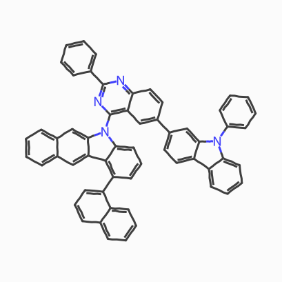 c1ccc(-c2nc(-n3c4cc5ccccc5cc4c4c(-c5cccc6ccccc56)cccc43)c3cc(-c4ccc5c6ccccc6n(-c6ccccc6)c5c4)ccc3n2)cc1